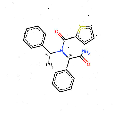 C[C@H](c1ccccc1)N(C(=O)c1cccs1)[C@@H](C(N)=O)c1ccccc1